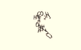 C[C@H](NC(=O)O)C(C)(C)C(=O)N[C@H]1CC[C@@H]2CN(Cc3ccccc3)C[C@@H]21